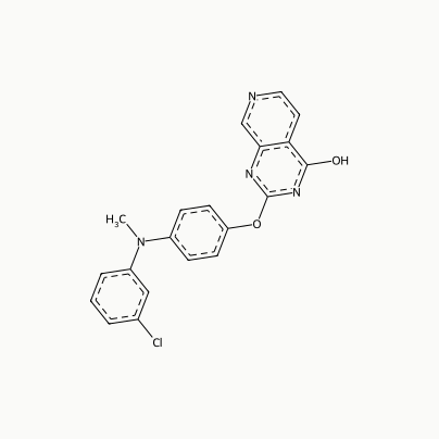 CN(c1ccc(Oc2nc(O)c3ccncc3n2)cc1)c1cccc(Cl)c1